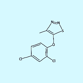 Cc1nnsc1Oc1ccc(Cl)cc1Cl